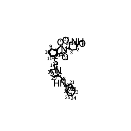 O=C1CCC(N2C(=O)c3cccc(SCc4nc(CNC56CC7CC(CC5C7)C6)cs4)c3C2=O)C(=O)N1